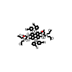 CC(C)CC(C(=O)N(CCC1CO1)CCC1CO1)N1C(=O)c2cc(Oc3cccc(C#N)c3)c3c4c(Oc5cccc(C#N)c5)cc5c6c(cc(Oc7cccc(C#N)c7)c(c7c(Oc8cccc(C#N)c8)cc(c2c37)C1=O)c64)C(=O)N(C(CC(C)C)C(=O)N(CCC1CO1)CCC1CO1)C5=O